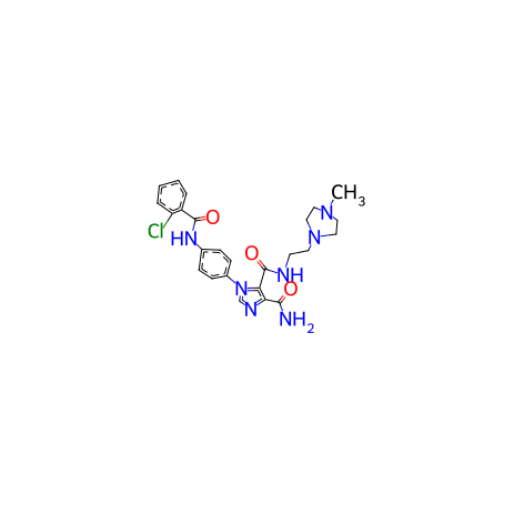 CN1CCN(CCNC(=O)c2c(C(N)=O)ncn2-c2ccc(NC(=O)c3ccccc3Cl)cc2)CC1